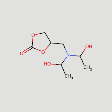 CC(O)N(CC1COC(=O)O1)C(C)O